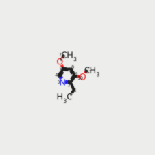 CCc1ncc(OC)cc1OC